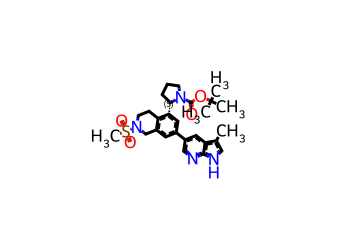 Cc1c[nH]c2ncc(-c3cc4c(c([C@@H]5CCCN5C(=O)OC(C)(C)C)c3)CCN(S(C)(=O)=O)C4)cc12